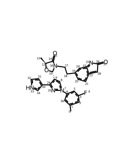 Cc1cc(F)cc(-n2cc([C@@H]3O[C@@H](C)C(=O)N3CCc3ccc4c(c3)=NC(=O)C=4)c(-c3cc[nH]c3)n2)c1